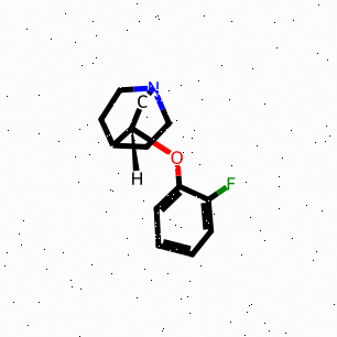 Fc1ccccc1O[C@H]1CN2CCC1CC2